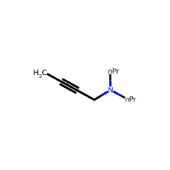 CC#CCN(CCC)CCC